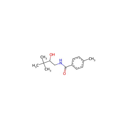 Cc1ccc(C(=O)NCC(O)C(C)(C)C)cc1